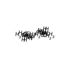 CNC(=O)N[C@H](C(=O)N1CCC[C@H]1c1nc2ccc(-c3ccc(-c4ccc5nc([C@@H]6CCCN6C(=O)[C@@H](NC(=O)NC)C(C)C)[nH]c5c4)cc3)cc2[nH]1)C(C)C